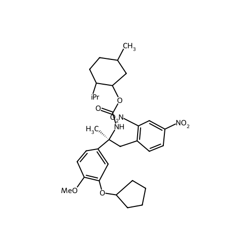 COc1ccc([C@](C)(Cc2ccc([N+](=O)[O-])cc2[N+](=O)[O-])NC(=O)OC2CC(C)CCC2C(C)C)cc1OC1CCCC1